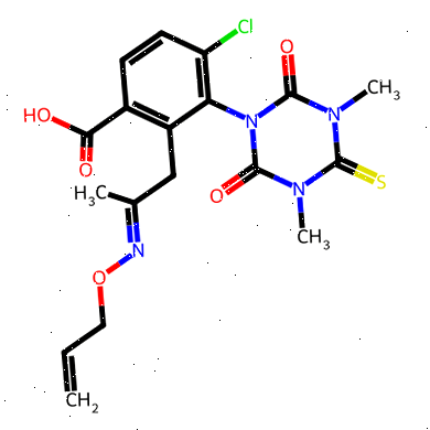 C=CCON=C(C)Cc1c(C(=O)O)ccc(Cl)c1-n1c(=O)n(C)c(=S)n(C)c1=O